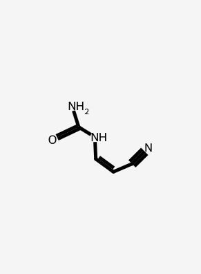 N#C/C=C\NC(N)=O